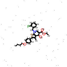 CCCCOc1ccc(-c2sc3c(c2C)c(=O)c(C(=O)OCC)cn3Cc2ccccc2F)cc1